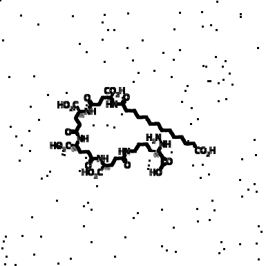 NN[C@@H](CCCCNC(=O)CC[C@H](NC(=O)CC[C@H](NC(=O)CC[C@H](NC(=O)CC[C@H](NC(=O)CCCCCCCCCCCCC(=O)O)C(=O)O)C(=O)O)C(=O)O)C(=O)O)C1OC1O